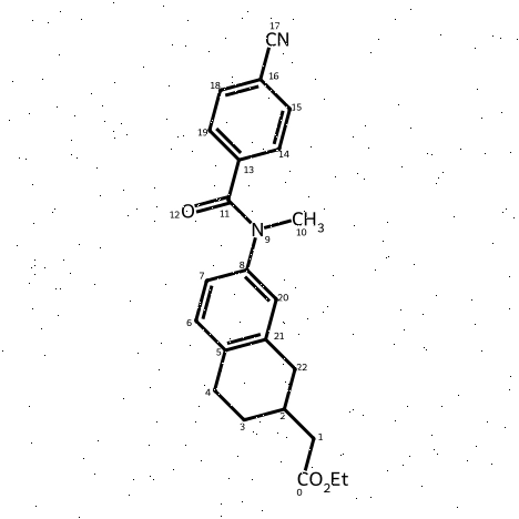 CCOC(=O)CC1CCc2ccc(N(C)C(=O)c3ccc(C#N)cc3)cc2C1